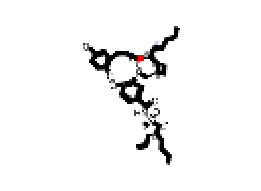 C=CC[C@H](CCCC)[C@@H](C)S(=O)(=O)NC(=O)c1ccc2c(c1)N(C[C@@H]1CC[C@H]1[C@@H](O)/C=C/CCC)CCCCc1cc(Cl)ccc1CO2